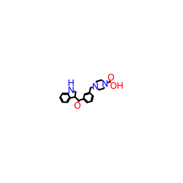 O=C(c1cccc(CN2CCN(C(=O)O)CC2)c1)C1CNc2ccccc21